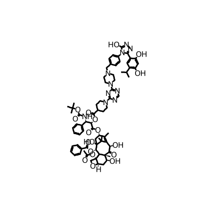 CC(=O)O[C@@]12CO[C@@H]1C[C@H](O)[C@@]1(C)C(=O)[C@H](O)C3=C(C)[C@@H](OC(=O)[C@H](OC(=O)C4CCN(c5ncnc(N6CCN(Cc7ccc(-n8c(O)nnc8-c8cc(C(C)C)c(O)cc8O)cc7)CC6)n5)CC4)[C@@H](NC(=O)OC(C)(C)C)c4ccccc4)CC(O)([C@@H](OC(=O)c4ccccc4)C12)C3(C)C